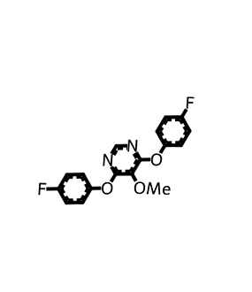 COc1c(Oc2ccc(F)cc2)ncnc1Oc1ccc(F)cc1